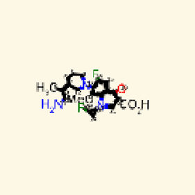 COc1c(N2CCCC(=C(C)CN)C2)c(F)cc2c(=O)c(C(=O)O)cn(C3CC3F)c12